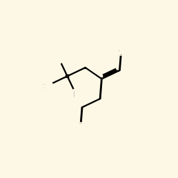 C/C=C(/CCF)CC(F)(F)CC